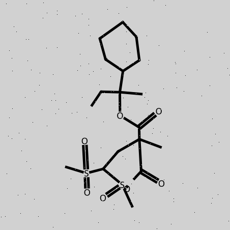 CCC(C)(OC(=O)C(C)(CC(S(C)(=O)=O)S(C)(=O)=O)C(C)=O)C1CCCCC1